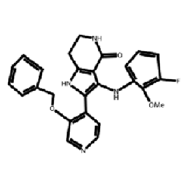 COc1c(F)cccc1Nc1c(-c2ccncc2OCc2ccccc2)[nH]c2c1C(=O)NCC2